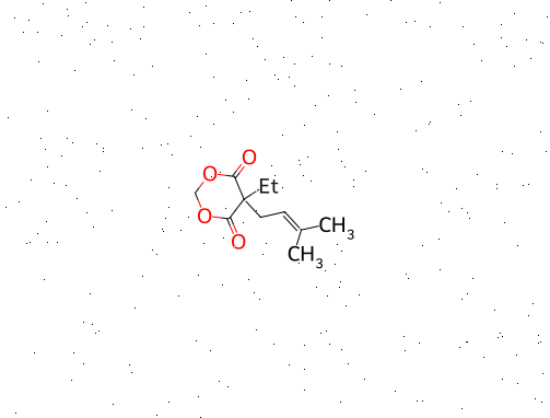 CCC1(CC=C(C)C)C(=O)OCOC1=O